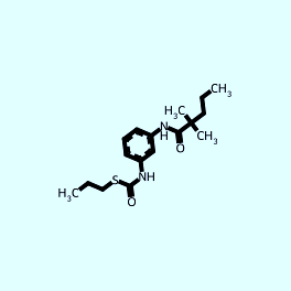 CCCSC(=O)Nc1cccc(NC(=O)C(C)(C)CCC)c1